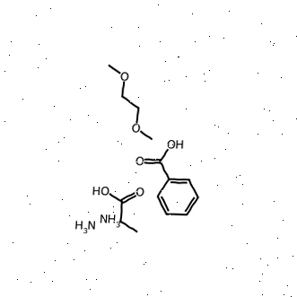 CCC(=O)O.COCCOC.N.N.O=C(O)c1ccccc1